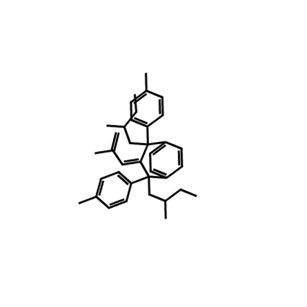 C=C(C)C=C1C(CC(C)CC)(c2ccc(C)cc2)c2ccc(cc2)C1(CC(C)CC)c1ccc(C)cc1